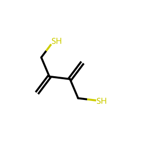 C=C(CS)C(=C)CS